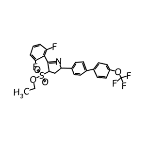 CCOS(=O)(=O)C1CC(c2ccc(-c3ccc(OC(F)(F)F)cc3)cc2)N=C1c1c(F)cccc1F